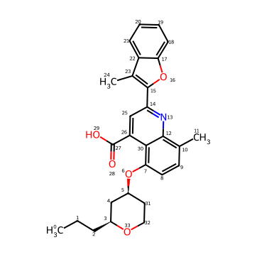 CCC[C@H]1C[C@@H](Oc2ccc(C)c3nc(-c4oc5ccccc5c4C)cc(C(=O)O)c23)CCO1